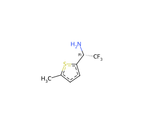 Cc1ccc([C@H](N)C(F)(F)F)s1